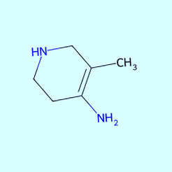 CC1=C(N)CCNC1